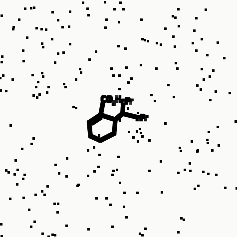 CCCC(CCC)C1CCCC=C1C(=O)O